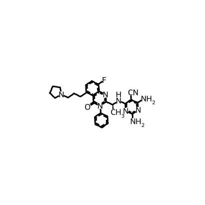 C[C@H](Nc1nc(N)nc(N)c1C#N)c1nc2c(F)ccc(CCCN3CCCC3)c2c(=O)n1-c1ccccc1